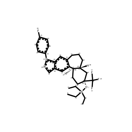 CC[Si](CC)(CC)O[C@]1(C(F)(F)F)CC[C@H]2c3cc4cnn(-c5ccc(F)cc5)c4cc3CCC[C@@H]2C1